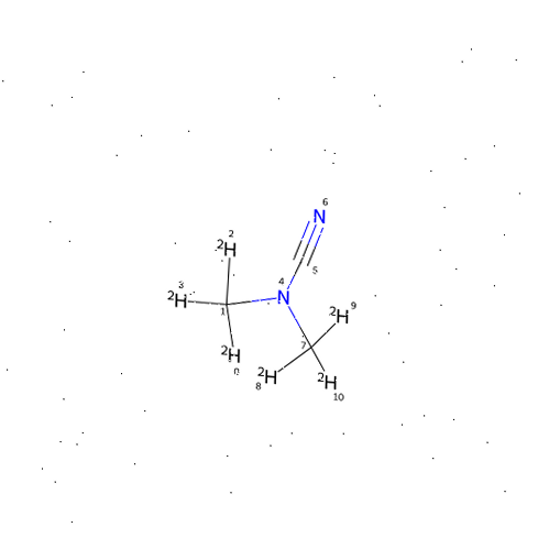 [2H]C([2H])([2H])N(C#N)C([2H])([2H])[2H]